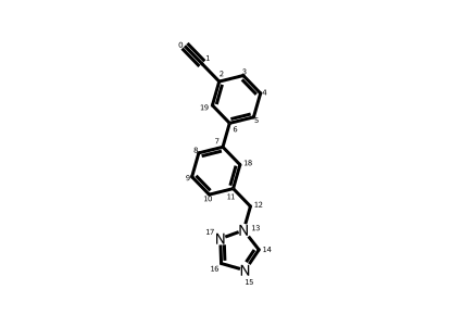 C#Cc1cccc(-c2cccc(Cn3cncn3)c2)c1